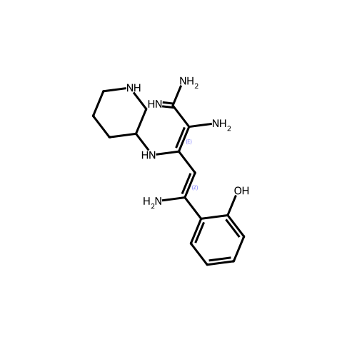 N=C(N)/C(N)=C(/C=C(\N)c1ccccc1O)NC1CCCNC1